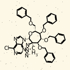 C[C@@]1(N=[N+]=[N-])[C@H](OCc2ccccc2)[C@@H](OCc2ccccc2)[C@H](OCc2ccccc2)[C@@H](COCc2ccccc2)O[C@H]1n1cnc2c(Cl)ncnc21